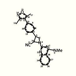 CNc1nc(N2CC(c3ccc(-c4c(C)noc4C)cc3)C2C#N)nc2ccccc12